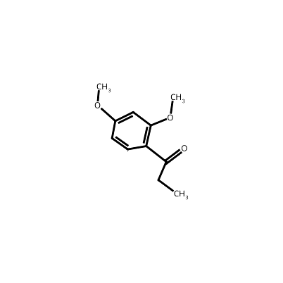 CCC(=O)c1[c]cc(OC)cc1OC